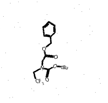 CC(C)(C)OC(=O)N(CC(=O)OCc1ccccc1)CC(F)(F)F